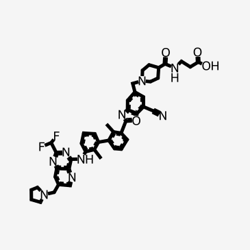 Cc1c(Nc2nc(C(F)F)nc3cc(CN4CCCC4)cnc23)cccc1-c1cccc(-c2nc3cc(CN4CCC(C(=O)NCCC(=O)O)CC4)cc(C#N)c3o2)c1C